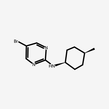 C[C@H]1CC[C@@H](Nc2ncc(Br)cn2)CC1